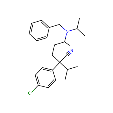 CC(C)N(Cc1ccccc1)C(C)CCC(C#N)(c1ccc(Cl)cc1)C(C)C